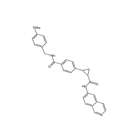 COc1ccc(CNC(=O)c2ccc(C3CC3C(=O)Nc3ccc4cnccc4c3)cc2)cc1